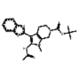 CC(=O)NC1=C(c2nc3ccccc3s2)C2=C(CN(C(=O)OC(C)(C)C)CC2)[SH]1C